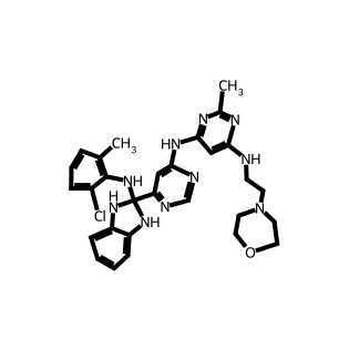 Cc1nc(NCCN2CCOCC2)cc(Nc2cc(C3(Nc4c(C)cccc4Cl)Nc4ccccc4N3)ncn2)n1